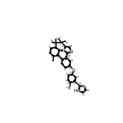 Cc1ccc2c3c1c1ccc(Oc4ccc(F)c(-c5ncc[nH]5)c4)cc1c1ncc(n13)C(C)(C)C2(C)C